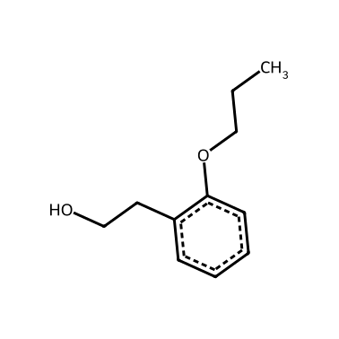 CCCOc1ccccc1CCO